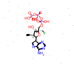 C#C[C@@H]1C(C2C=Nc3c(N)ncnc32)O[C@](CF)(COP(=O)(O)OP(=O)(O)OP(=O)(O)O)[C@H]1O